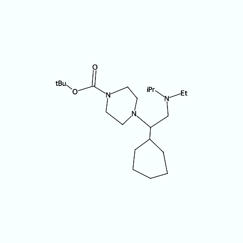 CCN(CC(C1CCCCC1)N1CCN(C(=O)OC(C)(C)C)CC1)C(C)C